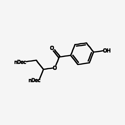 CCCCCCCCCCCC(CCCCCCCCCC)OC(=O)c1ccc(O)cc1